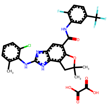 Cc1cccc(Cl)c1Nc1nc2cc(C(=O)Nc3cc(C(F)(F)F)ccc3F)c3c(c2[nH]1)CC(C)(C)O3.O=C(O)C(=O)O